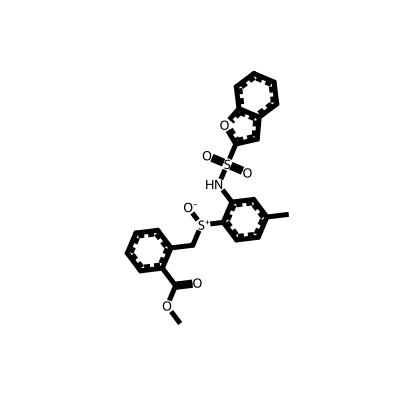 COC(=O)c1ccccc1C[S+]([O-])c1ccc(C)cc1NS(=O)(=O)c1cc2ccccc2o1